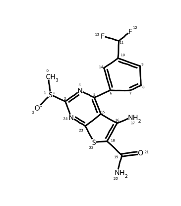 C[S+]([O-])c1nc(-c2cccc(C(F)F)c2)c2c(N)c(C(N)=O)sc2n1